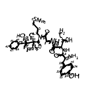 CSCC[C@@H](C(=O)O)N(C(=O)CNC(=O)[C@H](NC(=O)[C@@H](N)Cc1ccc(O)cc1)[C@H](C)O)C(=O)[C@@](F)(N(F)F)C(F)(F)c1ccccc1